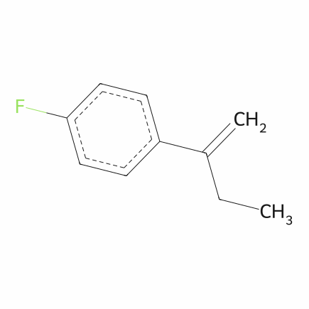 C=C(CC)c1ccc(F)cc1